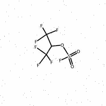 O=S(=O)(F)O[C](C(F)(F)F)C(F)(F)F